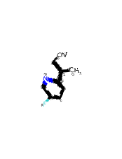 CC(=CC#N)c1ccc(F)cn1